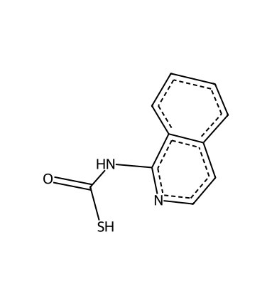 O=C(S)Nc1nccc2ccccc12